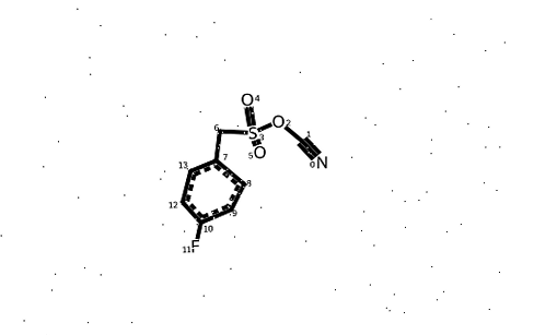 N#COS(=O)(=O)Cc1ccc(F)cc1